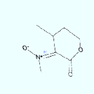 CC1CCOC(=O)/C1=[N+](\C)[O-]